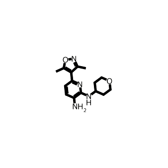 Cc1noc(C)c1-c1ccc(N)c(NC2CCOCC2)n1